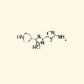 Cl.Nc1ncc(-c2noc(C3CCNCC3)n2)s1